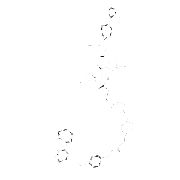 Cc1ncsc1-c1ccc([C@H](C)NC(=O)[C@@H]2C[C@@H](O)CN2C(=O)[C@@H](NC(=O)CCN2CCC(OC3CCN(CCC(=O)NCc4ccc(CCOc5cc(-c6ccccc6O)nnc5N)cc4)CC3)CC2)C(C)(C)C)cc1